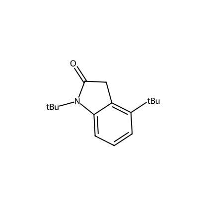 CC(C)(C)c1cccc2c1CC(=O)N2C(C)(C)C